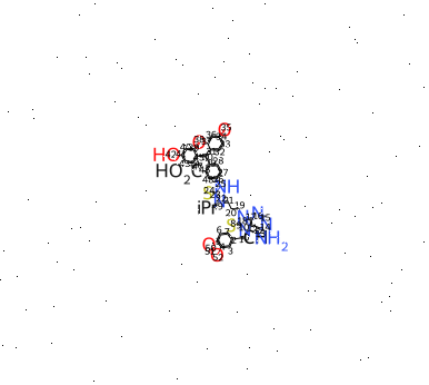 C#Cc1cc2c(cc1Sc1nc3c(N)ncnc3n1CCCN(C(=S)Nc1ccc(-c3c4ccc(=O)cc-4oc4cc(O)ccc34)c(C(=O)O)c1)C(C)C)OCO2